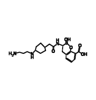 NCCCNC1CCC(CC(=O)NC2Cc3cccc(C(=O)O)c3OB2O)CC1